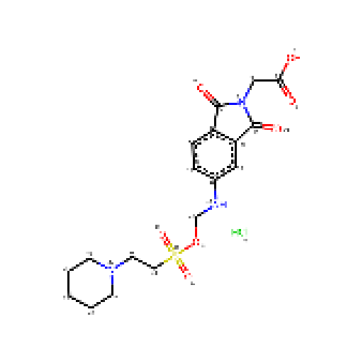 Cl.O=C(O)CN1C(=O)c2ccc(NCOS(=O)(=O)CCN3CCCCC3)cc2C1=O